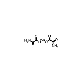 NC(=O)C(=O)[O][Sn][O]C(=O)C(N)=O